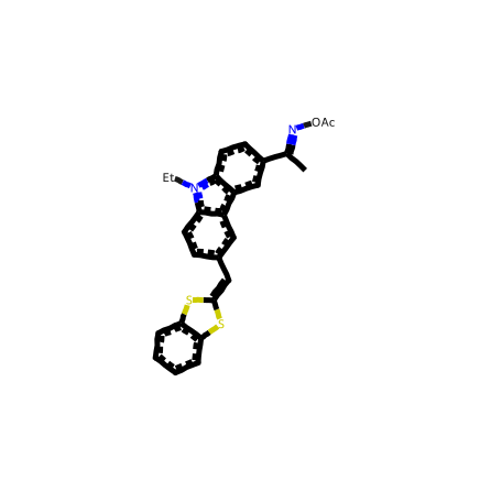 CCn1c2ccc(C=C3Sc4ccccc4S3)cc2c2cc(/C(C)=N/OC(C)=O)ccc21